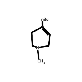 CCCCC1=CCN(C)CC1